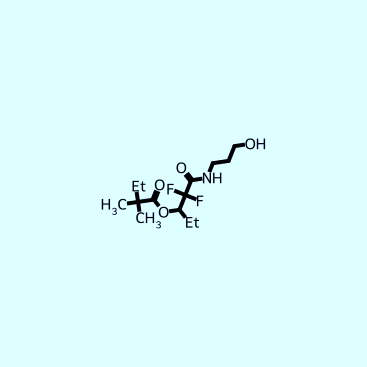 CCC(OC(=O)C(C)(C)CC)C(F)(F)C(=O)NCCCO